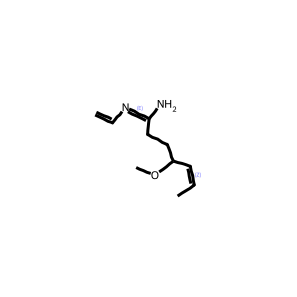 C=C/N=C(/N)CCC(/C=C\C)OC